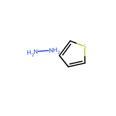 NN.c1ccsc1